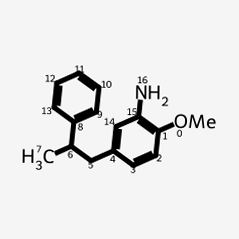 COc1ccc(CC(C)c2ccccc2)cc1N